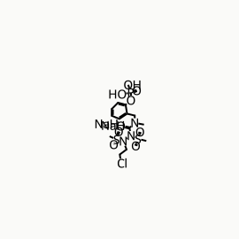 CN(Cc1ccccc1OP(=O)(O)O)C(=O)N(N(CCCl)S(C)(=O)=O)S(C)(=O)=O.[NaH].[NaH]